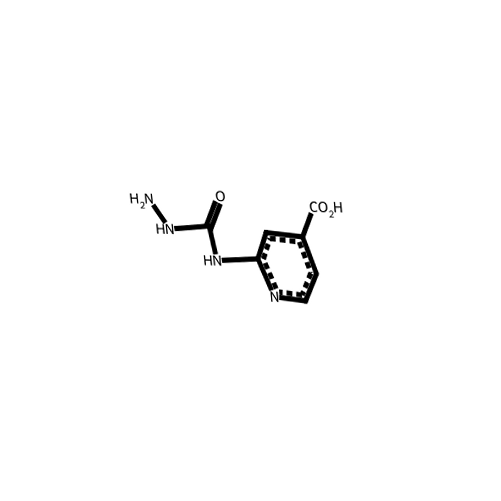 NNC(=O)Nc1cc(C(=O)O)ccn1